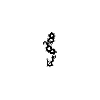 CN1CCCC1CCOc1ccc2cc(C(=O)N3CCc4ccccc4C3)ccc2c1